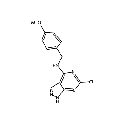 COc1ccc(CNc2nc(Cl)nc3[nH]ncc23)cc1